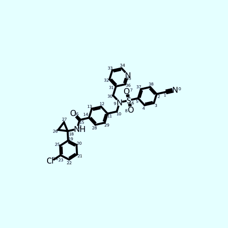 N#Cc1ccc(S(=O)(=O)N(Cc2ccc(C(=O)NC3(c4cccc(Cl)c4)CC3)cc2)Cc2cccnc2)cc1